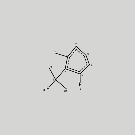 Cc1cccc(F)c1C(C)(C)F